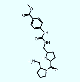 COC(=O)c1ccc(NC(=O)NC[C@H]2CC[C@@H](C(=O)N3CCC[C@H]3CN)N2)cc1